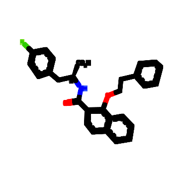 O=C(N[C@@H](Cc1ccc(F)cc1)C(=O)O)c1ccc2ccccc2c1OCCc1ccccc1